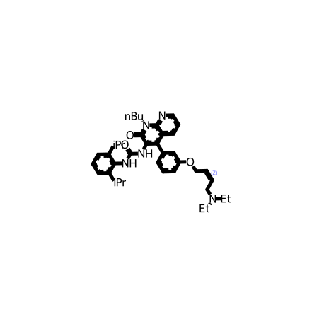 CCCCn1c(=O)c(NC(=O)Nc2c(C(C)C)cccc2C(C)C)c(-c2cccc(OC/C=C\CN(CC)CC)c2)c2cccnc21